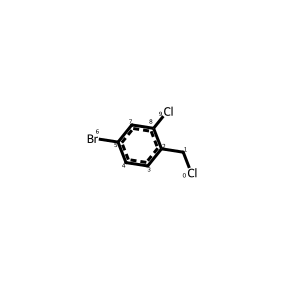 ClCc1ccc(Br)cc1Cl